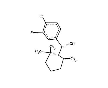 C[C@H]1CCCC(C)(C)[C@@H]1[C@@H](O)c1ccc(Cl)c(F)c1